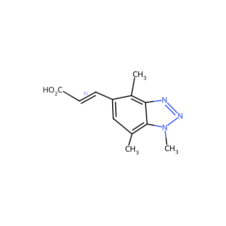 Cc1c(/C=C/C(=O)O)cc(C)c2c1nnn2C